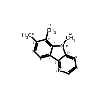 Cc1ccc2c3ncccc3n(C)c2c1C